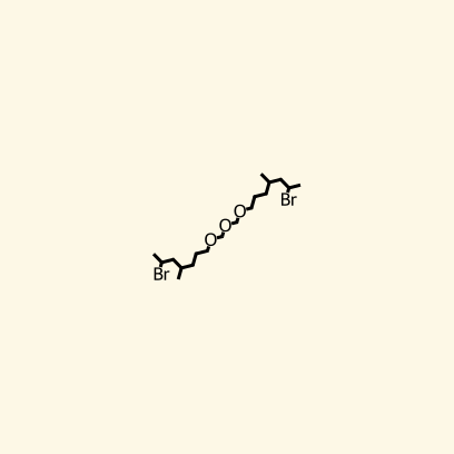 CC(Br)CC(C)CCCOCOCOCCCC(C)CC(C)Br